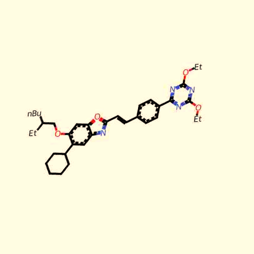 CCCCC(CC)COc1cc2oc(/C=C/c3ccc(-c4nc(OCC)nc(OCC)n4)cc3)nc2cc1C1CCCCC1